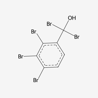 OC(Br)(Br)c1ccc(Br)c(Br)c1Br